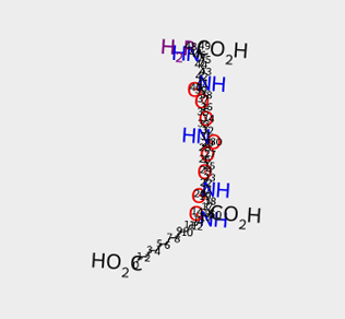 O=C(O)CCCCCCCCCCCCC(=O)N[C@@H](CCC(=O)NCCOCCOCC(=O)NCCOCCOCC(=O)NCCCC[C@H](NP)C(=O)O)C(=O)O